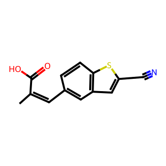 CC(=Cc1ccc2sc(C#N)cc2c1)C(=O)O